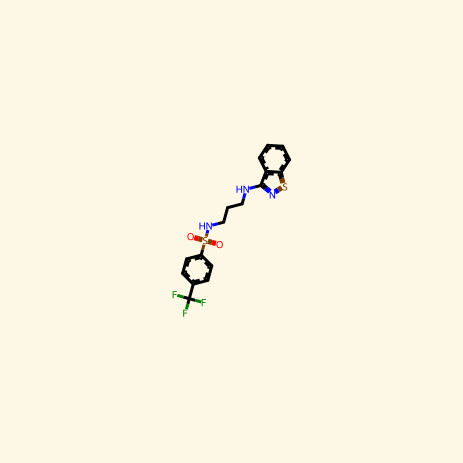 O=S(=O)(NCCCNc1nsc2ccccc12)c1ccc(C(F)(F)F)cc1